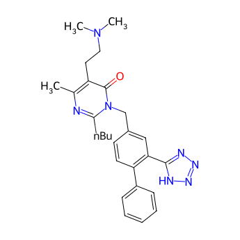 CCCCc1nc(C)c(CCN(C)C)c(=O)n1Cc1ccc(-c2ccccc2)c(-c2nnn[nH]2)c1